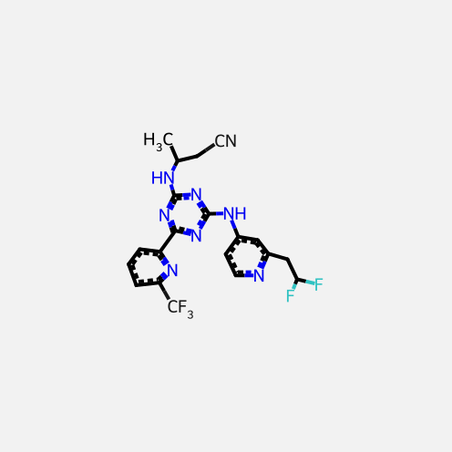 CC(CC#N)Nc1nc(Nc2ccnc(CC(F)F)c2)nc(-c2cccc(C(F)(F)F)n2)n1